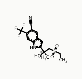 CCS(=O)(=O)C[C@](C)(O)c1cc2cc(C#N)c(C(F)(F)F)cc2[nH]1